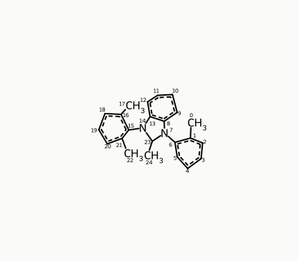 Cc1ccccc1N1c2ccccc2N(c2c(C)cccc2C)C1C